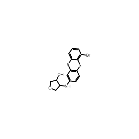 OC1COCC1Nc1ccc2c(c1)Sc1cccc(Br)c1S2